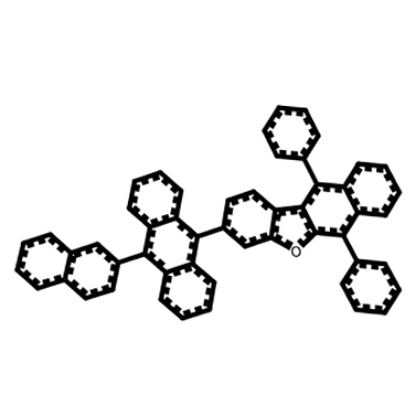 c1ccc(-c2c3ccccc3c(-c3ccccc3)c3c2oc2cc(-c4c5ccccc5c(-c5ccc6ccccc6c5)c5ccccc45)ccc23)cc1